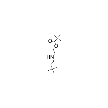 CC(C)(C)CCNCCOC(=O)C(C)(C)C